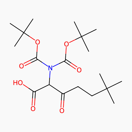 CC(C)(C)CCC(=O)C(C(=O)O)N(C(=O)OC(C)(C)C)C(=O)OC(C)(C)C